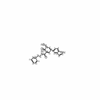 CCCCn1cc(-c2ccc3[nH]ccc3c2)cc(C(=O)NCCc2ccccc2)c1=O